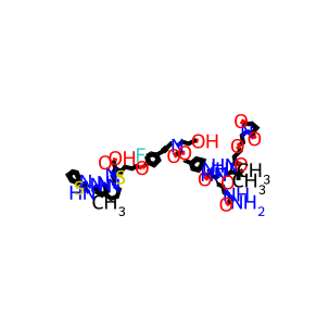 Cc1c(Nc2nc3ccccc3s2)nnc2c1CCCN2c1nc(C(=O)O)c(CCCOc2ccc(C#CCN(CCCO)C(=O)OCc3ccc(NC(=O)[C@H](CCCNC(N)=O)NC(=O)[C@@H](NC(=O)CCOCCN4C(=O)C=CC4=O)C(C)C)cc3)cc2F)s1